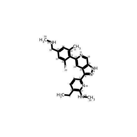 CCc1ccc(-c2n[nH]c3cnc(-c4c(C)cc(CNC)cc4F)cc23)nc1NC